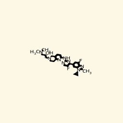 Cc1nc2c(F)cc(-c3nc(Nc4ccc5c(n4)CCN([CH][C@H](O)CN(C)C)C5)ncc3F)cc2n1C1CC1